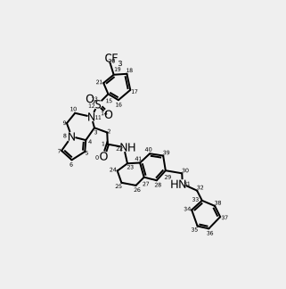 O=C(CC1c2cccn2CCN1S(=O)(=O)c1cccc(C(F)(F)F)c1)NC1CCCc2cc(CNCc3ccccc3)ccc21